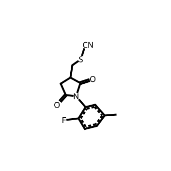 Cc1ccc(F)c(N2C(=O)CC(CSC#N)C2=O)c1